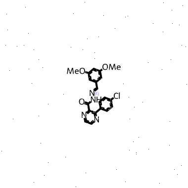 COc1cc(/C=N/NC(=O)c2nccnc2-c2ccc(Cl)cc2)cc(OC)c1